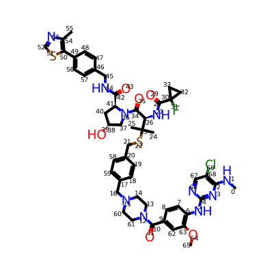 CNc1nc(Nc2ccc(C(=O)N3CCN(Cc4ccc(CSC(C)(C)[C@H](NC(=O)C5(F)CC5)C(=O)N5C[C@H](O)C[C@H]5C(=O)NCc5ccc(-c6scnc6C)cc5)cc4)CC3)cc2OC)ncc1Cl